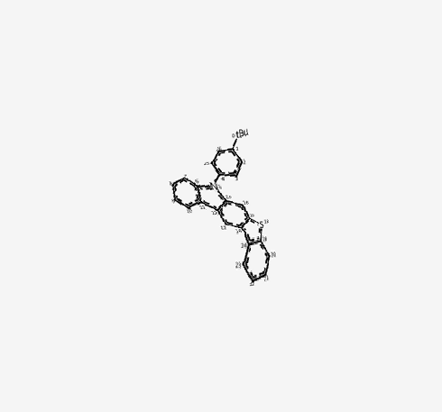 CC(C)(C)c1ccc(-n2c3ccccc3c3cc4c(cc32)sc2ccccc24)cc1